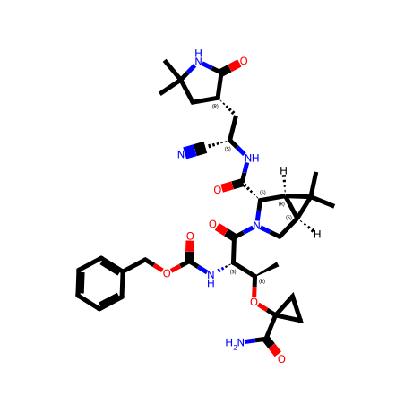 C[C@@H](OC1(C(N)=O)CC1)[C@H](NC(=O)OCc1ccccc1)C(=O)N1C[C@H]2[C@@H]([C@H]1C(=O)N[C@H](C#N)C[C@@H]1CC(C)(C)NC1=O)C2(C)C